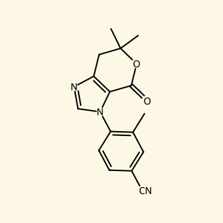 Cc1cc(C#N)ccc1-n1cnc2c1C(=O)OC(C)(C)C2